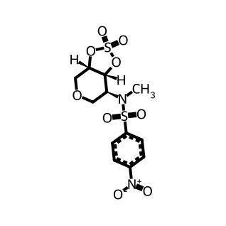 CN([C@H]1COC[C@@H]2OS(=O)(=O)O[C@@H]21)S(=O)(=O)c1ccc([N+](=O)[O-])cc1